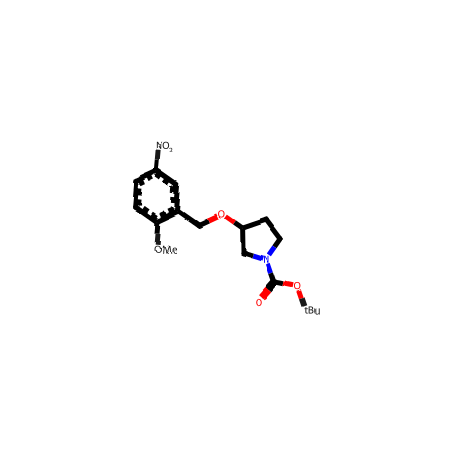 COc1ccc([N+](=O)[O-])cc1COC1CCN(C(=O)OC(C)(C)C)C1